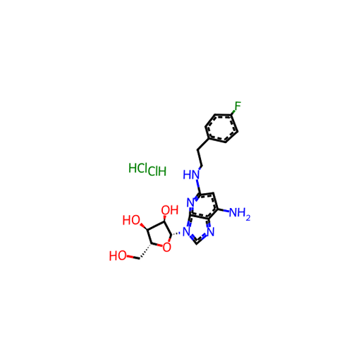 Cl.Cl.Nc1cc(NCCc2ccc(F)cc2)nc2c1ncn2[C@@H]1O[C@H](CO)[C@@H](O)[C@H]1O